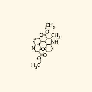 CCOC(=O)C1=C(C)NC2=C(C(=O)CCC2)C1c1cccc2ncc(C(=O)OCC)cc12